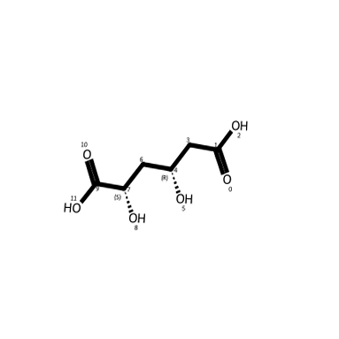 O=C(O)C[C@H](O)C[C@H](O)C(=O)O